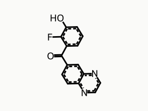 O=C(c1ccc2nccnc2c1)c1cccc(O)c1F